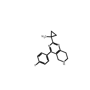 CC1(c2nc3c(c(-c4ccc(F)cc4)n2)CNCC3)CC1